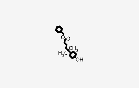 CC(C)(CCCC(=O)OCc1ccccc1)c1ccc(O)cc1